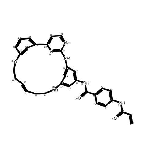 C=CC(=O)Nc1ccc(C(=O)Nc2cc3cc(c2)Nc2nccc(n2)-c2cccc(c2)OCC/C=C/CCN3)cc1